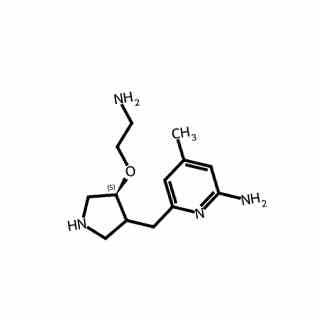 Cc1cc(N)nc(CC2CNC[C@H]2OCCN)c1